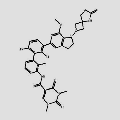 COc1nc(-c2ccc(F)c(-c3cccc(NC(=O)c4nn(C)c(=O)n(C)c4=O)c3C)c2Cl)cc2c1[C@@H](N1CC3(CCC(=O)N3)C1)CC2